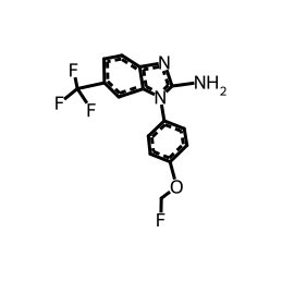 Nc1nc2ccc(C(F)(F)F)cc2n1-c1ccc(OCF)cc1